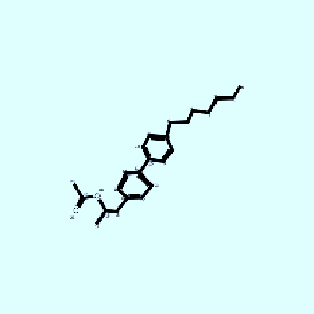 CCCCCCCc1ccc(-c2ccc(CC(C)OC(C)=O)cc2)cc1